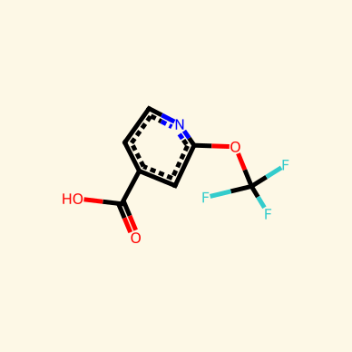 O=C(O)c1ccnc(OC(F)(F)F)c1